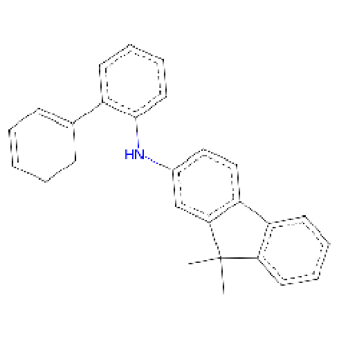 CC1(C)c2ccccc2-c2ccc(Nc3ccccc3C3=CC=CCC3)cc21